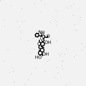 CCC1C(C)(CC(OC(=O)c2ccccc2NC)C(C)C=O)C(O)CC2(C)C3(C)CCC4C(C)(O)C(O)CCC4(C)C3CC3OC312